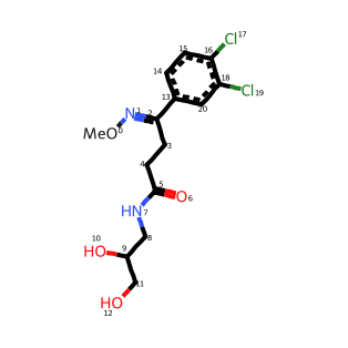 CO/N=C(\CCC(=O)NCC(O)CO)c1ccc(Cl)c(Cl)c1